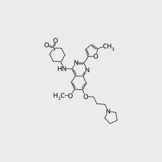 COc1cc2c(NC3CCS(=O)(=O)CC3)nc(-c3ccc(C)o3)nc2cc1OCCCN1CCCC1